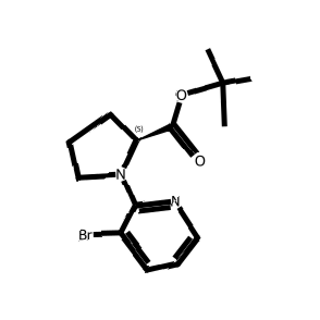 CC(C)(C)OC(=O)[C@@H]1CCCN1c1ncccc1Br